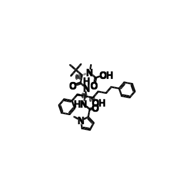 CN(C(=O)O)[C@H](C(=O)N[C@@](Cc1ccccc1)(NC(=O)c1cccn1C)[C@@H](O)CCCc1ccccc1)C(C)(C)C